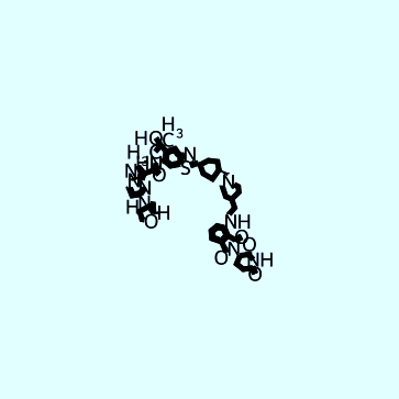 CC(C)(O)c1cc2nc([C@H]3CC[C@H](CN4CCC(CCNc5cccc6c5C(=O)N(C5CCC(=O)NC5=O)C6=O)CC4)CC3)sc2cc1NC(=O)c1cnn2ccc(N3C[C@H]4C[C@@H]3CO4)nc12